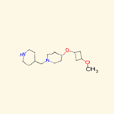 COC1CC(OC2CCN(CC3CCNCC3)CC2)C1